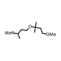 CNC(C)CCOC(C)(C)CCOC